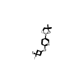 CC1(C)COB(c2ccc(OC3CC(F)(F)C3)nc2)O1